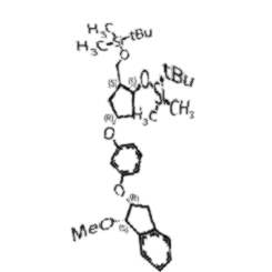 CO[C@H]1c2ccccc2C[C@H]1Oc1cccc(O[C@@H]2C[C@@H](CO[Si](C)(C)C(C)(C)C)[C@@H](O[Si](C)(C)C(C)(C)C)C2)c1